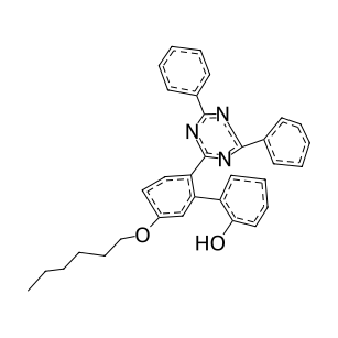 CCCCCCOc1ccc(-c2nc(-c3ccccc3)nc(-c3ccccc3)n2)c(-c2ccccc2O)c1